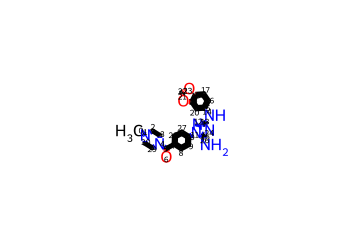 CN1CCN(C(=O)c2ccc(-n3nc(Nc4ccc5c(c4)OCO5)nc3N)cc2)CC1